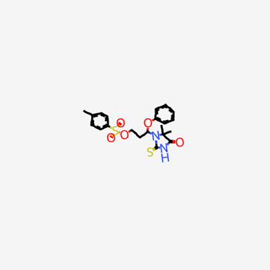 Cc1ccc(S(=O)(=O)OCCC(Oc2ccccc2)N2C(=S)NC(=O)C2(C)C)cc1